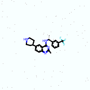 Cc1nc(N[C@H](C)c2cccc(C(F)(F)F)c2)c2cc(C3CCNCC3)ccc2n1